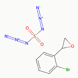 Brc1ccccc1C1CO1.[N-]=[N+]=NS(=O)(=O)N=[N+]=[N-]